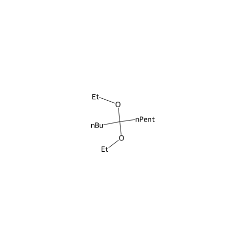 CCCCCC(CCCC)(OCC)OCC